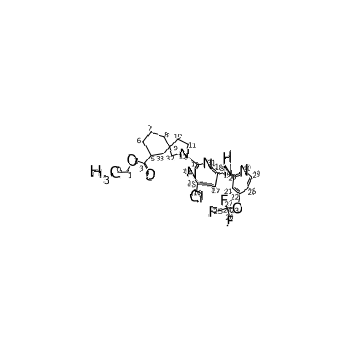 CCOC(=O)C1CCCC2(CCN(c3nc(Cl)cc(Nc4cc(OC(F)(F)F)ccn4)n3)C2)C1